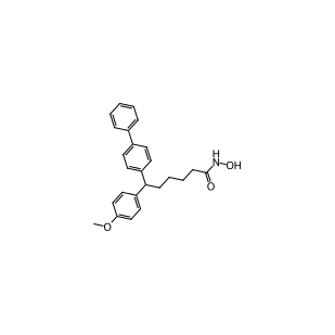 COc1ccc(C(CCCCC(=O)NO)c2ccc(-c3ccccc3)cc2)cc1